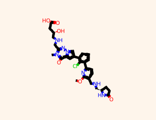 COc1nc(-c2cccc(-c3cc4c(=O)n(C)c(CNC[C@@H](O)CC(=O)O)nn4c3)c2Cl)ccc1CNC[C@@H]1CCC(=O)N1